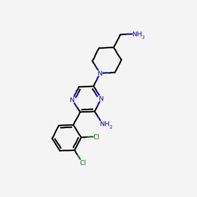 NCC1CCN(c2cnc(-c3cccc(Cl)c3Cl)c(N)n2)CC1